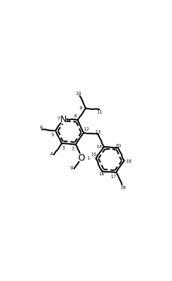 COc1c(C)c(C)nc(C(C)C)c1Cc1ccc(C)cc1